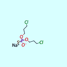 [Na+].[O-]P(=S)(OCCCCl)OCCCCl